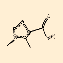 Cc1c(C(N)=O)ncn1C